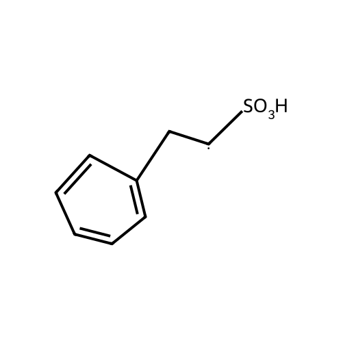 O=S(=O)(O)[CH]Cc1ccccc1